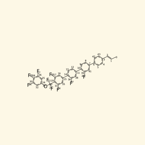 C/C=C/c1ccc(-c2ccc(-c3ccc(-c4cc(F)c(C(F)(F)Oc5cc(F)c(F)c(F)c5)c(F)c4)c(F)c3)c(F)c2)cc1